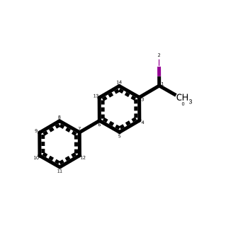 CC(I)c1ccc(-c2ccccc2)cc1